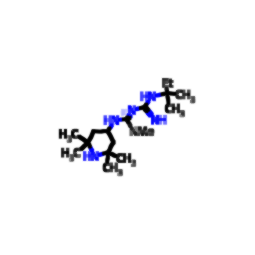 CCC(C)(C)NC(=N)/N=C(\NC)NC1CC(C)(C)NC(C)(C)C1